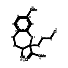 COC(=O)C1(CCCCl)Oc2cc(OC)ccc2CCC1O